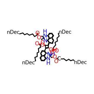 CCCCCCCCCCCCCCCCCC(=O)OCC1(COC(=O)CCCCCCCCCCCCCCCCC)N=c2/c(=C3\C(=O)C(c4ccc5cccc6c5c4NC(COC(=O)CCCCCCCCCCCCCCCCC)(COC(=O)CCCCCCCCCCCCCCCCC)N6)=C3O)ccc3cccc(c23)N1